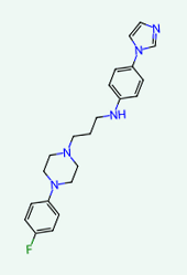 Fc1ccc(N2CCN(CCCNc3ccc(-n4ccnc4)cc3)CC2)cc1